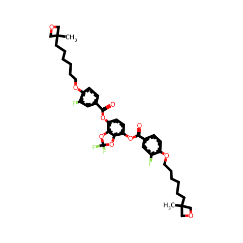 CC1(CCCCCCOc2ccc(C(=O)Oc3ccc(OC(=O)c4ccc(OCCCCCCC5(C)COC5)c(F)c4)c4c3OC(F)(F)O4)cc2F)COC1